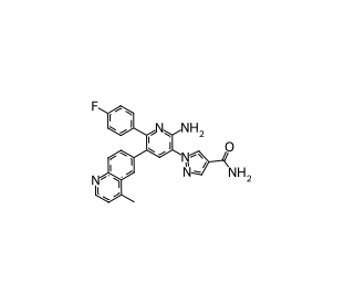 Cc1ccnc2ccc(-c3cc(-n4cc(C(N)=O)cn4)c(N)nc3-c3ccc(F)cc3)cc12